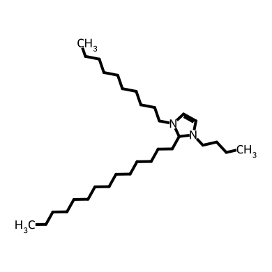 CCCCCCCCCCCCCCC1N(CCCC)C=CN1CCCCCCCCCC